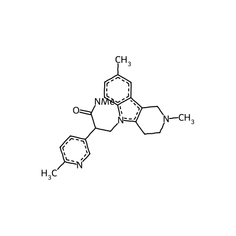 CNC(=O)C(Cn1c2c(c3cc(C)ccc31)CN(C)CC2)c1ccc(C)nc1